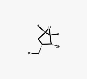 OC[C@@H]1C[C@@H]2O[C@@H]2[C@@H]1O